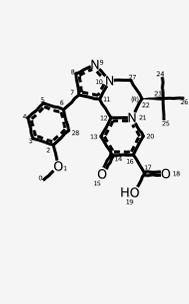 COc1cccc(-c2cnn3c2-c2cc(=O)c(C(=O)O)cn2[C@H](C(C)(C)C)C3)c1